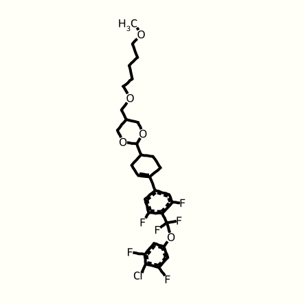 COCCCCCOCC1COC(C2CC=C(c3cc(F)c(C(F)(F)Oc4cc(F)c(Cl)c(F)c4)c(F)c3)CC2)OC1